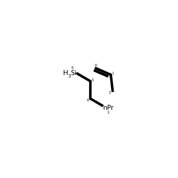 C=CC.CCCCC[SiH3]